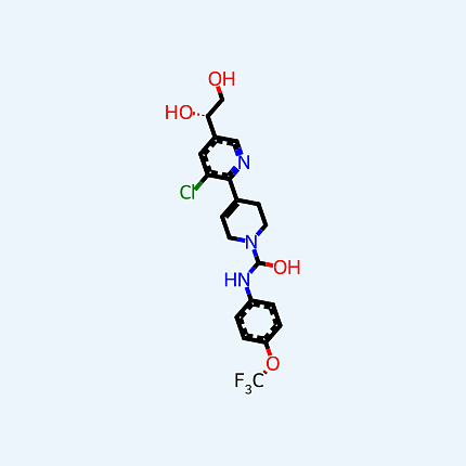 OC[C@@H](O)c1cnc(C2=CCN(C(O)Nc3ccc(OC(F)(F)F)cc3)CC2)c(Cl)c1